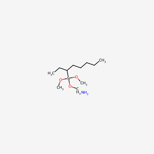 CCCCCC(CC)[Si](OC)(OC)OC.N